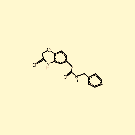 CN(Cc1ccccc1)C(=O)Cc1ccc2c(c1)NC(=O)CO2